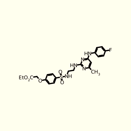 CCOC(=O)COc1ccc(S(=O)(=O)NCCNc2nc(C)cc(Nc3ccc(F)cc3)n2)cc1